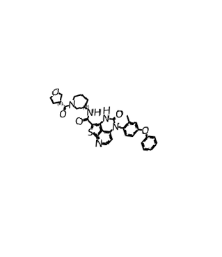 Cc1cc(Oc2ccccc2)ccc1N1C(=O)Nc2c(C(=O)N[C@@H]3CCCN(C(=O)[C@@H]4CCOC4)C3)sc3nccc1c23